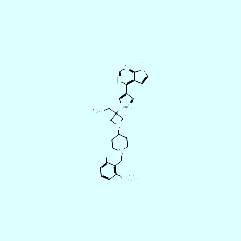 COc1cccc(F)c1CN1CCC(N2CC(CC#N)(n3cc(-c4ncnc5[nH]ccc45)cn3)C2)CC1